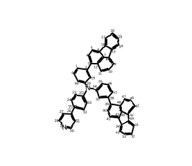 c1cc(-c2ccc3c4c(cccc24)-c2ccccc2-3)cc(N(c2ccc(-c3ccncc3)cc2)c2cccc(-c3ccc4c5c(cccc35)-c3ccccc3-4)c2)c1